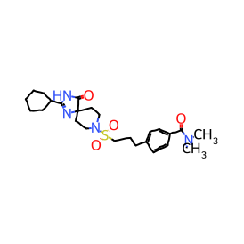 CN(C)C(=O)c1ccc(CCCS(=O)(=O)N2CCC3(CC2)N=C(C2CCCCC2)NC3=O)cc1